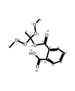 COOC(C)(OOC)OC(=O)c1ccccc1C(=O)O